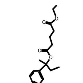 CCOC(=O)CCCC(=O)OC(C)(CC)c1ccccc1